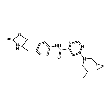 C=C1NC(Cc2ccc(NC(=O)c3cc(N(CCC)CC4CC4)ncn3)cc2)CO1